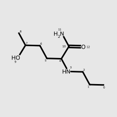 CCCNC(CCC(C)O)C(N)=O